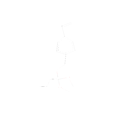 C=Cc1ccc(CO[Si](CCC)(OC)OC)cc1